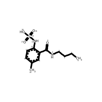 CCCCNC(=O)c1cc(C)ccc1NS(=O)(=O)O